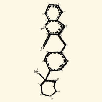 N#CC1(c2ccc(Cc3cc4ccccc4[nH]c3=O)cc2)CCOCC1